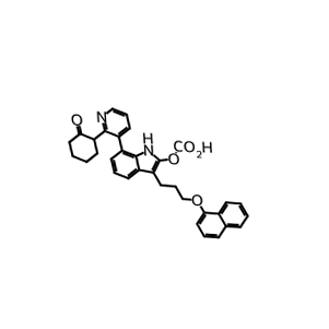 O=C(O)Oc1[nH]c2c(-c3cccnc3C3CCCCC3=O)cccc2c1CCCOc1cccc2ccccc12